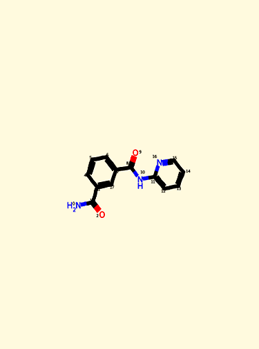 NC(=O)c1cccc(C(=O)Nc2ccccn2)c1